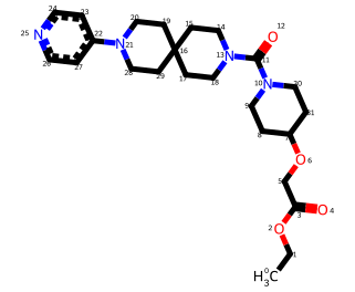 CCOC(=O)COC1CCN(C(=O)N2CCC3(CC2)CCN(c2ccncc2)CC3)CC1